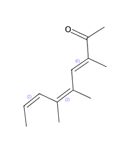 C\C=C/C(C)=C(C)\C=C(/C)C(C)=O